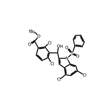 CC(C)(C)OC(=O)c1ccc(Cl)c(C(O)c2cc3c(Cl)cc(Cl)cc3n2S(=O)(=O)c2ccccc2)c1Cl